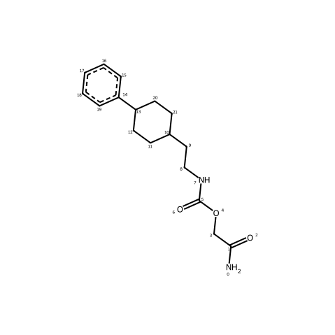 NC(=O)COC(=O)NCCC1CCC(c2ccccc2)CC1